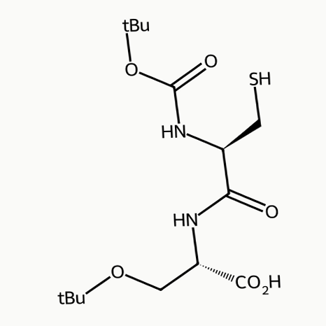 CC(C)(C)OC[C@H](NC(=O)[C@H](CS)NC(=O)OC(C)(C)C)C(=O)O